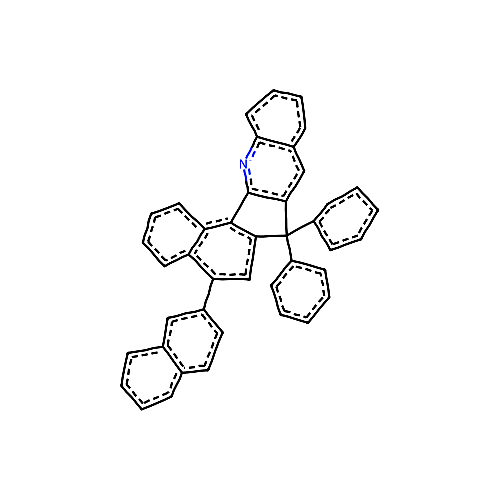 c1ccc(C2(c3ccccc3)c3cc4ccccc4nc3-c3c2cc(-c2ccc4ccccc4c2)c2ccccc32)cc1